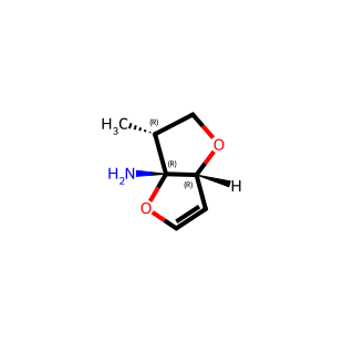 C[C@@H]1CO[C@@H]2C=CO[C@]12N